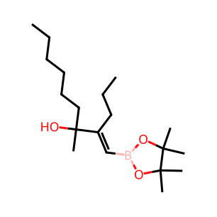 CCCCCCC(C)(O)/C(=C/B1OC(C)(C)C(C)(C)O1)CCC